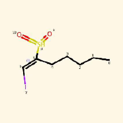 CCCCC/C(=C\I)[SH](=O)=O